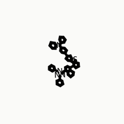 c1ccc(-c2nc(-c3ccccc3)nc(-c3ccc(-c4cccc5sc6cc(-c7ccc(N(c8ccccc8)c8ccccc8)cc7)ccc6c45)c4ccccc34)n2)cc1